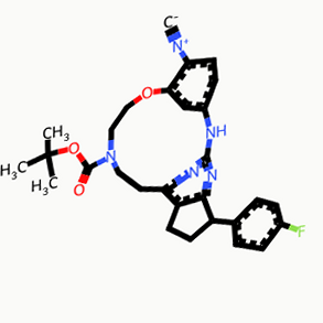 [C-]#[N+]c1ccc2cc1OCCN(C(=O)OC(C)(C)C)CCc1nc(nc3c1CCC3c1ccc(F)cc1)N2